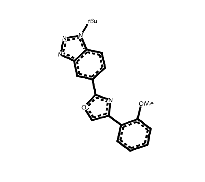 COc1ccccc1-c1coc(-c2ccc3c(c2)nnn3C(C)(C)C)n1